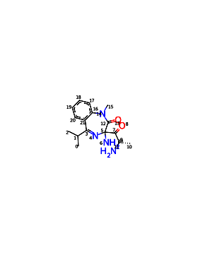 CC(C)C1=NC(N)(C(=O)[C@H](C)N)C(=O)N(C)c2ccccc21